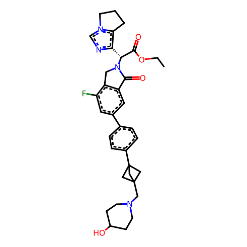 CCOC(=O)[C@@H](c1ncn2c1CCC2)N1Cc2c(F)cc(-c3ccc(C45CC(CN6CCC(O)CC6)(C4)C5)cc3)cc2C1=O